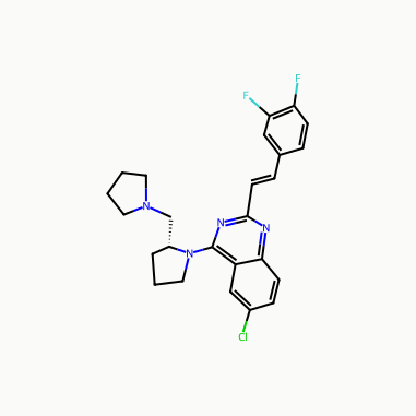 Fc1ccc(/C=C/c2nc(N3CCC[C@@H]3CN3CCCC3)c3cc(Cl)ccc3n2)cc1F